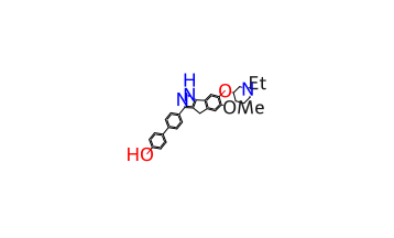 CCN1CCCC(Oc2cc3c(cc2OC)Cc2c(-c4ccc(-c5ccc(O)cc5)cc4)n[nH]c2-3)C1